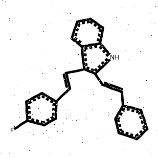 Fc1ccc(/C=C/c2c(/C=C/c3ccccc3)[nH]c3ccccc23)cc1